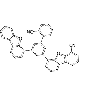 N#Cc1ccccc1-c1cc(-c2cccc3c2oc2ccccc23)cc(-c2cccc3c2oc2c(C#N)cccc23)c1